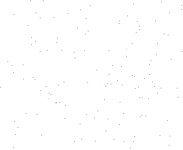 Cl.NCCCCCOC(=O)NOC1CCCCC1